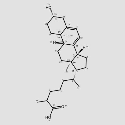 CC(CCCC(C)[C@H]1CC[C@H]2C3=CC=C4C[C@@H](O)CC[C@]4(C)[C@H]3CC[C@]12C)C(=O)O